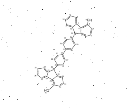 Oc1cccc2c1c1ccccc1n2-c1ccc(-c2ccc(-n3c4ccccc4c4c(O)cccc43)cc2)cc1